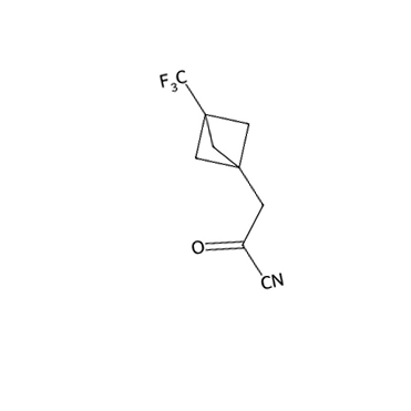 N#CC(=O)CC12CC(C(F)(F)F)(C1)C2